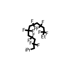 CCC(F)(F)CC(F)(F)CC(F)(F)CC(F)(F)CC(F)(F)CC(F)(F)CC(C)C